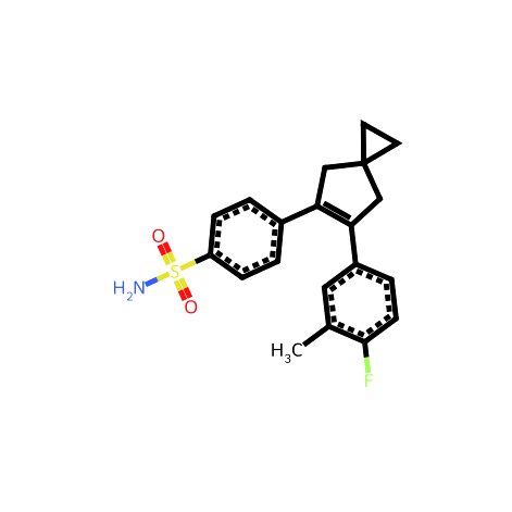 Cc1cc(C2=C(c3ccc(S(N)(=O)=O)cc3)CC3(CC3)C2)ccc1F